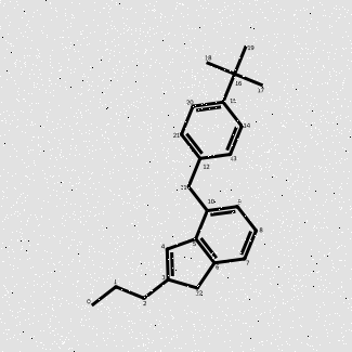 CCCC1=Cc2c(cccc2Cc2ccc(C(C)(C)C)cc2)C1